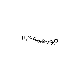 CCCCOCCOCCOCCOCCOC(=O)c1ccccc1